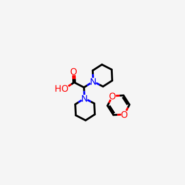 C1=COC=CO1.O=C(O)C(N1CCCCC1)N1CCCCC1